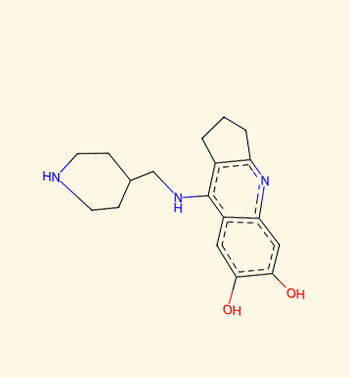 Oc1cc2nc3c(c(NCC4CCNCC4)c2cc1O)CCC3